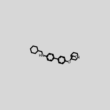 c1cc(-c2ccc(OC3CN4CCC3CC4)cc2)ccc1NCC1CCCCC1